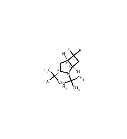 CC(C)(C)[C@@H]1C[C@@H]2[C@@H](CC2(F)F)N1C(C)(C)C